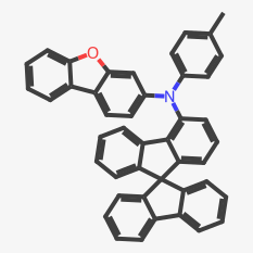 Cc1ccc(N(c2ccc3c(c2)oc2ccccc23)c2cccc3c2-c2ccccc2C32c3ccccc3-c3ccccc32)cc1